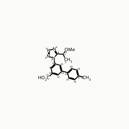 CO[C@@H](C)c1nnnn1-c1cc(C(=O)O)cc(-c2ccc(C)cc2)c1